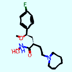 CO[C@H](C[C@H](CCN1CCCCC1)C(=O)NO)c1ccc(F)cc1